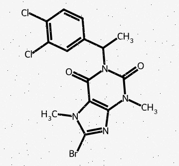 CC(c1ccc(Cl)c(Cl)c1)n1c(=O)c2c(nc(Br)n2C)n(C)c1=O